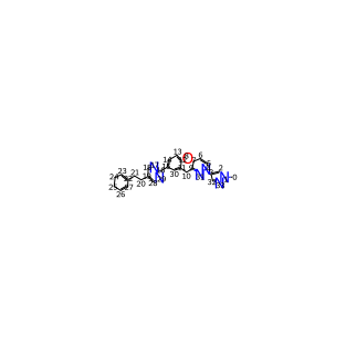 Cn1cc(-n2ccc(=O)c(Cc3cccc(-c4ncc(CCC5=CCCC=C5)cn4)c3)n2)cn1